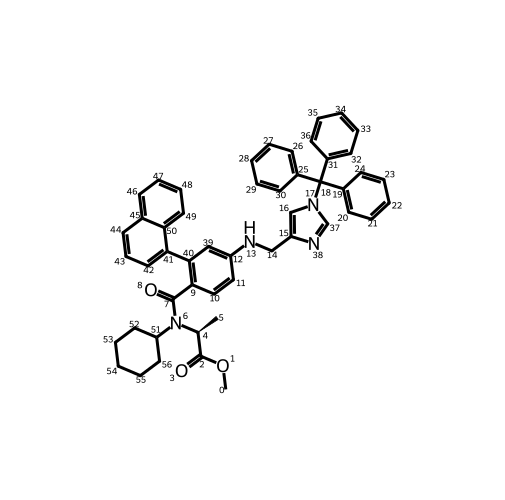 COC(=O)[C@H](C)N(C(=O)c1ccc(NCc2cn(C(c3ccccc3)(c3ccccc3)c3ccccc3)cn2)cc1-c1cccc2ccccc12)C1CCCCC1